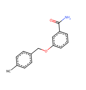 N#Cc1ccc(COc2cccc(C(N)=O)c2)cc1